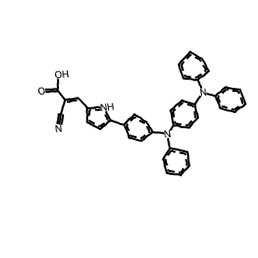 N#C/C(=C\c1ccc(-c2ccc(N(c3ccccc3)c3ccc(N(c4ccccc4)c4ccccc4)cc3)cc2)[nH]1)C(=O)O